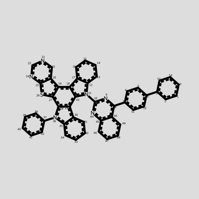 c1ccc(-c2ccc(-c3nc(-n4c5ccccc5c5c6c7cncnc7sc6c6c(c7ccccc7n6-c6ccccc6)c54)nc4ccccc34)cc2)cc1